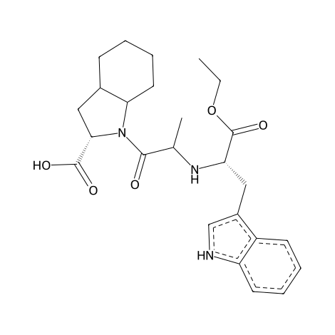 CCOC(=O)[C@H](Cc1c[nH]c2ccccc12)NC(C)C(=O)N1C2CCCCC2C[C@H]1C(=O)O